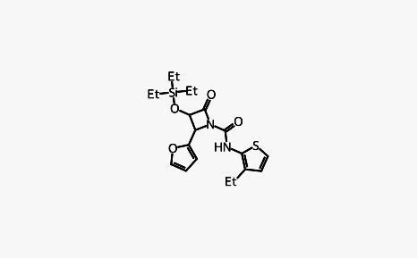 CCc1ccsc1NC(=O)N1C(=O)C(O[Si](CC)(CC)CC)C1c1ccco1